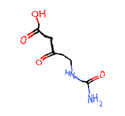 NC(=O)NCC(=O)CC(=O)O